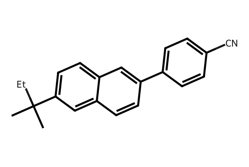 CCC(C)(C)c1ccc2cc(-c3ccc(C#N)cc3)ccc2c1